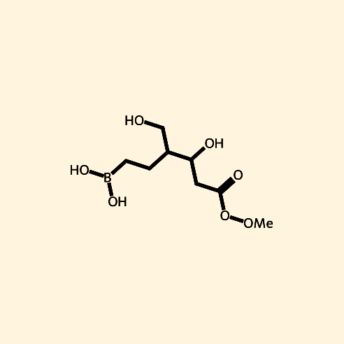 COOC(=O)CC(O)C(CO)CCB(O)O